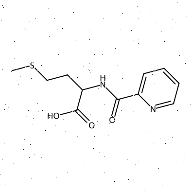 CSCCC(NC(=O)c1ccccn1)C(=O)O